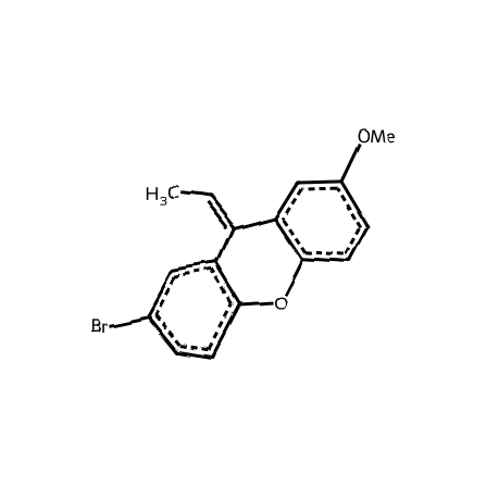 C/C=C1\c2cc(Br)ccc2Oc2ccc(OC)cc21